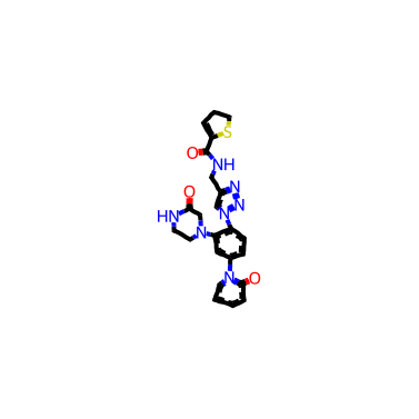 O=C1CN(c2cc(-n3ccccc3=O)ccc2-n2cc(CNC(=O)C3=CCCS3)nn2)CCN1